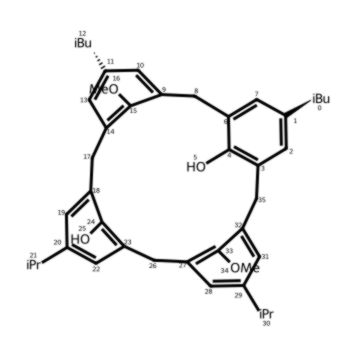 CC[C@H](C)c1cc2c(O)c(c1)Cc1cc([C@@H](C)CC)cc(c1OC)Cc1cc(C(C)C)cc(c1O)Cc1cc(C(C)C)cc(c1OC)C2